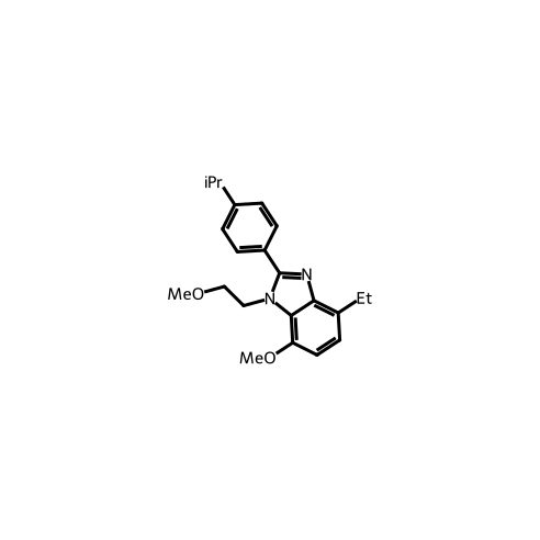 CCc1ccc(OC)c2c1nc(-c1ccc(C(C)C)cc1)n2CCOC